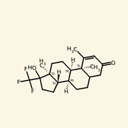 CC1=CC(=O)CC2CC[C@@H]3[C@@H](CC[C@@]4(C)[C@H]3CCC4(O)C(F)(F)F)[C@@]12C